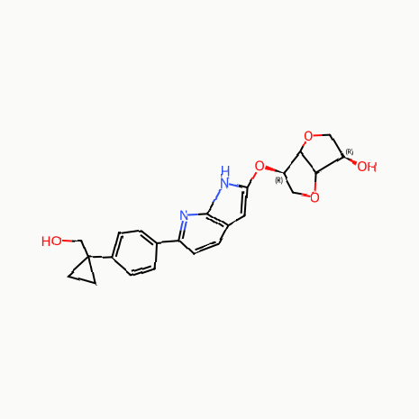 OCC1(c2ccc(-c3ccc4cc(O[C@@H]5COC6C5OC[C@H]6O)[nH]c4n3)cc2)CC1